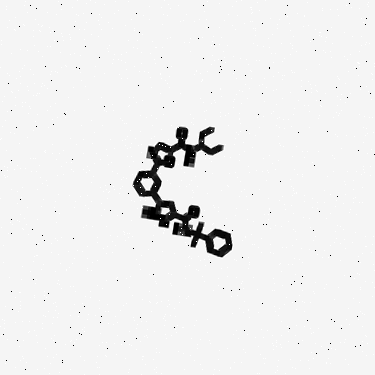 CCC(CC)NC(=O)c1cnc(-c2cccc(-c3cc(C(=O)NC(C)(C)c4ccccc4)n[nH]3)c2)o1